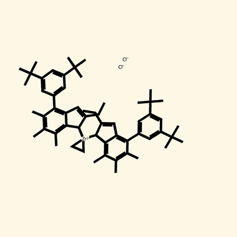 CCC1=Cc2c(-c3cc(C(C)(C)C)cc(C(C)(C)C)c3)c(C)c(C)c(C)c2[CH]1[Zr+2]1([CH]2C(CC)=Cc3c(-c4cc(C(C)(C)C)cc(C(C)(C)C)c4)c(C)c(C)c(C)c32)[CH2][CH2]1.[Cl-].[Cl-]